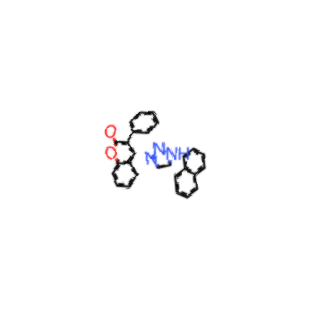 O=c1oc2ccccc2cc1-c1ccccc1.c1c[nH]nn1.c1ccc2ccccc2c1